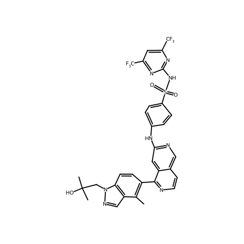 Cc1c(-c2nccc3cnc(Nc4ccc(S(=O)(=O)Nc5nc(C(F)(F)F)cc(C(F)(F)F)n5)cc4)cc23)ccc2c1cnn2CC(C)(C)O